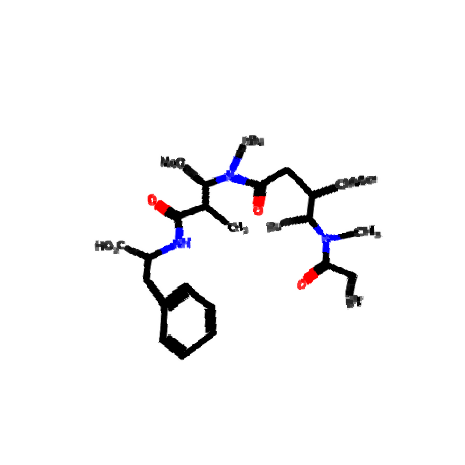 CCCCN(C(=O)CC(OC)C(C(C)CC)N(C)C(=O)CC(C)C)C(OC)C(C)C(=O)NC(Cc1ccccc1)C(=O)O